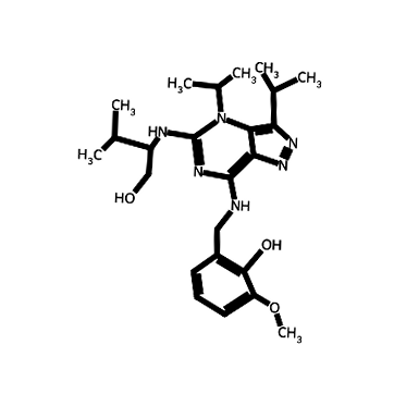 COc1cccc(CNc2nc(NC(CO)C(C)C)n(C(C)C)c3c(C(C)C)nnc2-3)c1O